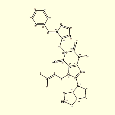 CC(C)=CCn1c(N2CCC3CNCC32)nc2c1c(=O)n(Cc1nccn1Cc1ccccc1)c(=O)n2C